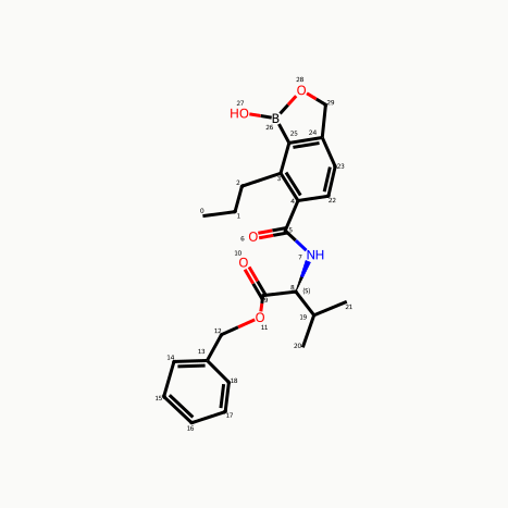 CCCc1c(C(=O)N[C@H](C(=O)OCc2ccccc2)C(C)C)ccc2c1B(O)OC2